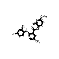 CCc1cc(F)ccc1Nc1ncc(C(F)(F)F)cc1C(=O)Nc1ccc(OC)nc1C